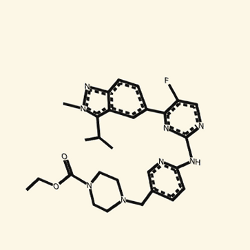 CCOC(=O)N1CCN(Cc2ccc(Nc3ncc(F)c(-c4ccc5nn(C)c(C(C)C)c5c4)n3)nc2)CC1